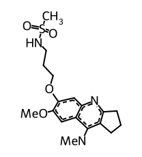 CNc1c2c(nc3cc(OCCCNS(C)(=O)=O)c(OC)cc13)CCC2